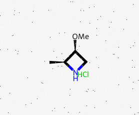 CO[C@H]1CN[C@H]1C.Cl